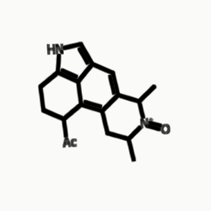 CC(=O)C1CCc2[nH]cc3cc4c(c1c23)CC(C)[N+](=O)C4C